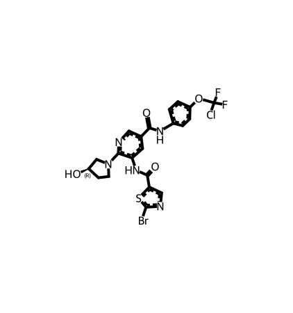 O=C(Nc1ccc(OC(F)(F)Cl)cc1)c1cnc(N2CC[C@@H](O)C2)c(NC(=O)c2cnc(Br)s2)c1